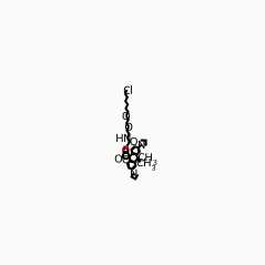 CC1(C)c2cc(N3CCC3)ccc2C2(OC(=O)c3ccc(C(=O)NCCOCCOCCCCCCCl)cc32)c2ccc(N3CCC3)cc21